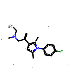 C=C(CN(C)CC(C)C)c1cc(C)n(-c2ccc(F)cc2)c1C